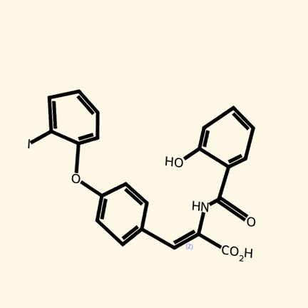 O=C(O)/C(=C/c1ccc(Oc2ccccc2I)cc1)NC(=O)c1ccccc1O